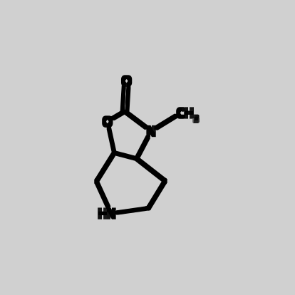 CN1C(=O)OC2CNCCC21